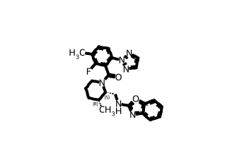 Cc1ccc(-n2nccn2)c(C(=O)N2CCC[C@@H](C)[C@H]2CNc2nc3ccccc3o2)c1F